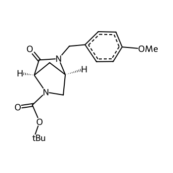 COc1ccc(CN2C(=O)[C@H]3C[C@@H]2CN3C(=O)OC(C)(C)C)cc1